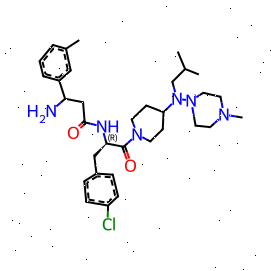 Cc1cccc(C(N)CC(=O)N[C@H](Cc2ccc(Cl)cc2)C(=O)N2CCC(N(CC(C)C)N3CCN(C)CC3)CC2)c1